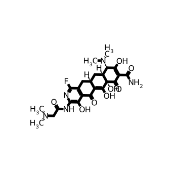 CN(C)CC(=O)Nc1nc(F)c2c(c1O)C(=O)C1=C(O)[C@]3(O)C(=O)C(C(N)=O)=C(O)[C@@H](N(C)C)[C@@H]3C[C@@H]1C2